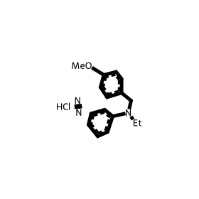 CCN(Cc1ccc(OC)cc1)c1ccccc1.Cl.N#N